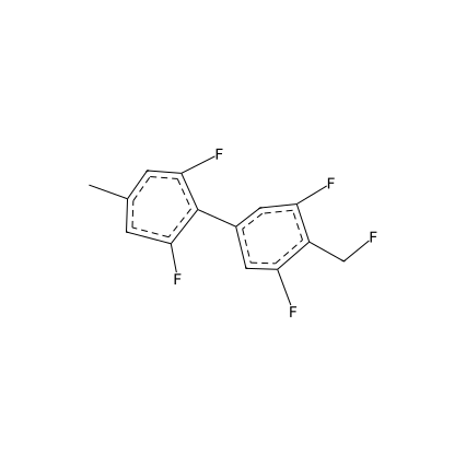 Cc1cc(F)c(-c2cc(F)c(CF)c(F)c2)c(F)c1